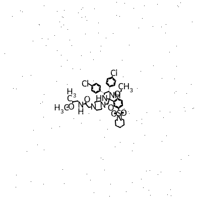 CCOc1ccc(S(=O)(=O)N2CCCCC2)cc1C1(C(=O)N2CCN(CC(=O)NCC(C)OC)CC2)N[C@H](c2ccc(Cl)cc2)[C@H](c2ccc(Cl)cc2)N1